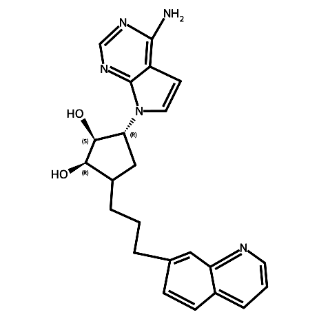 Nc1ncnc2c1ccn2[C@@H]1CC(CCCc2ccc3cccnc3c2)[C@@H](O)[C@H]1O